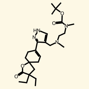 CCC1(CC)CC2(CC=C(c3n[nH]cc3CN(C)CCN(C)C(=O)OC(C)(C)C)CC2)OC1=O